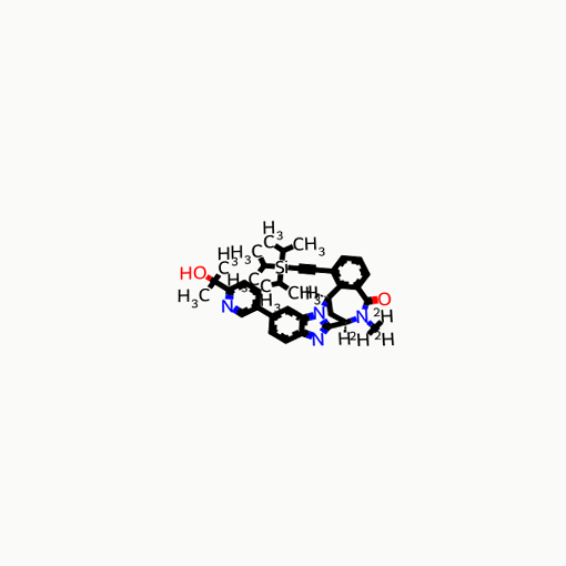 [2H]C([2H])([2H])N1C(=O)c2cccc(C#C[Si](C(C)C)(C(C)C)C(C)C)c2[C@H]2C[C@@H]1c1nc3ccc(-c4ccc(C(C)(C)O)nc4)cc3n12